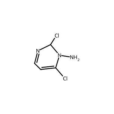 NN1C(Cl)=CC=NC1Cl